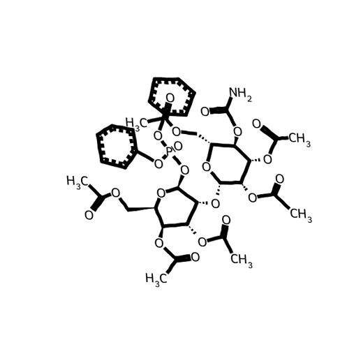 CC(=O)OC[C@H]1O[C@@H](OP(=O)(Oc2ccccc2)Oc2ccccc2)[C@H](O[C@@H]2O[C@H](COC(C)=O)[C@@H](OC(N)=O)[C@H](OC(C)=O)[C@@H]2OC(C)=O)[C@H](OC(C)=O)[C@H]1OC(C)=O